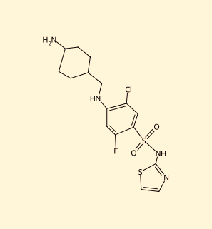 NC1CCC(CNc2cc(F)c(S(=O)(=O)Nc3nccs3)cc2Cl)CC1